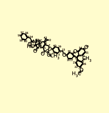 COOC(=O)C1=C(COc2ccc(COc3ccc4c(-c5ccc(OC)cc5C)c5ccc(=O)cc-5oc4c3)cc2)C2(CC2)S[C@H]2N1C(=O)[C@@]2(O)NC(=O)Cc1ccccc1